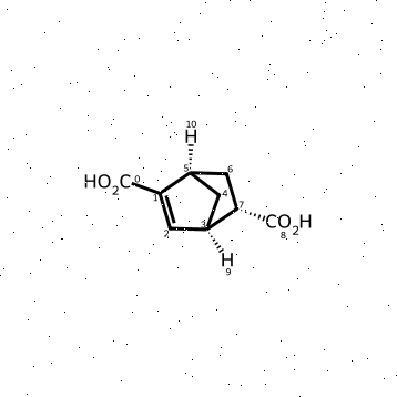 O=C(O)C1=C[C@H]2C[C@@H]1C[C@@H]2C(=O)O